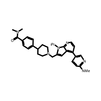 CNc1ccc(-c2ccnc3c2cc(CN2CCC(c4ccc(C(=O)N(C)C)cc4)CC2)n3C(C)C)cn1